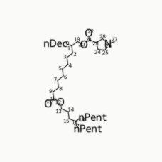 CCCCCCCCCCC(CCCCCCCCC(=O)OCCCC(CCCCC)CCCCC)COC(=O)C1CCN(C)C1